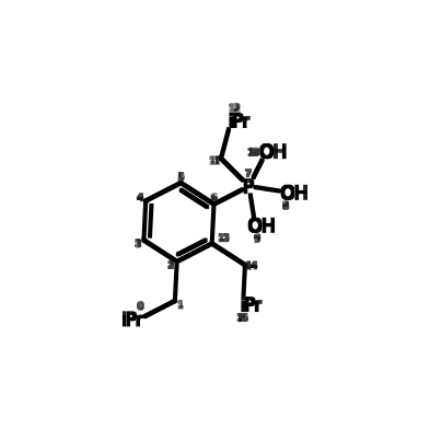 CC(C)Cc1cccc(P(O)(O)(O)CC(C)C)c1CC(C)C